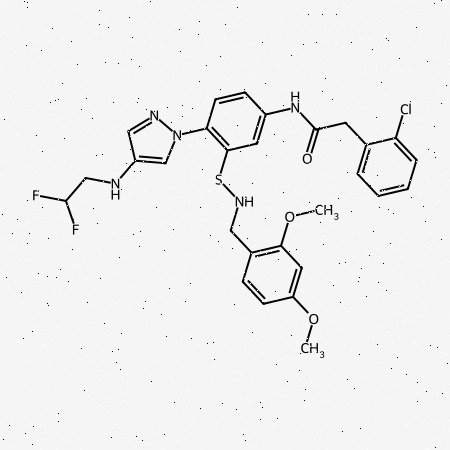 COc1ccc(CNSc2cc(NC(=O)Cc3ccccc3Cl)ccc2-n2cc(NCC(F)F)cn2)c(OC)c1